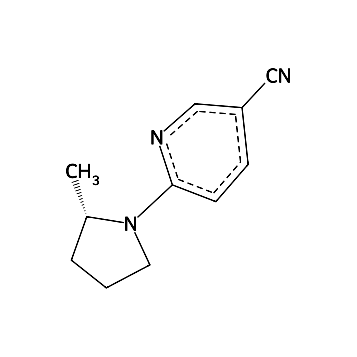 C[C@H]1CCCN1c1ccc(C#N)cn1